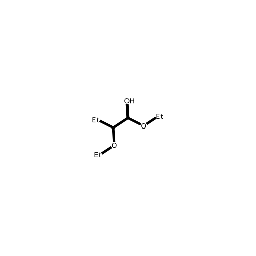 CCOC(O)C(CC)OCC